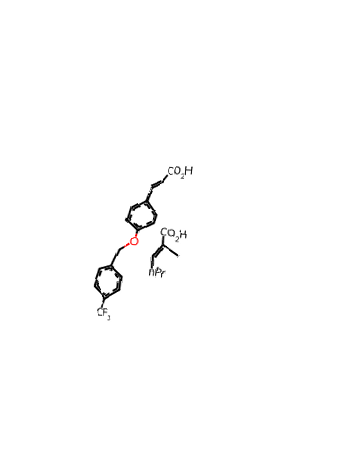 CCCC=C(C)C(=O)O.O=C(O)C=Cc1ccc(OCc2ccc(C(F)(F)F)cc2)cc1